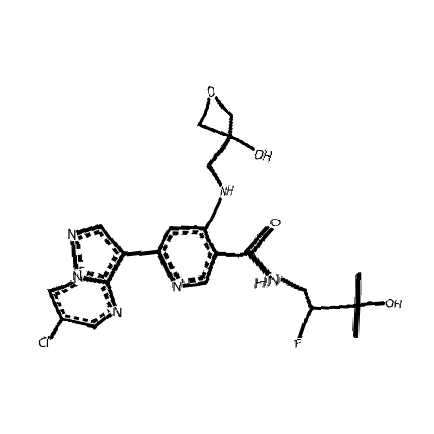 CC(C)(O)C(F)CNC(=O)c1cnc(-c2cnn3cc(Cl)cnc23)cc1NCC1(O)COC1